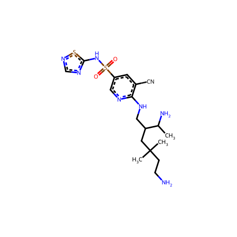 CC(N)C(CNc1ncc(S(=O)(=O)Nc2ncns2)cc1C#N)CC(C)(C)CCN